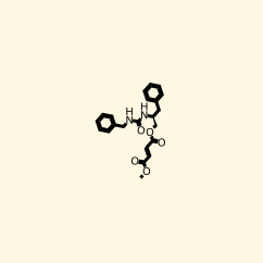 COC(=O)/C=C/C(=O)OC[C@H](Cc1ccccc1)NC(=O)NCc1ccccc1